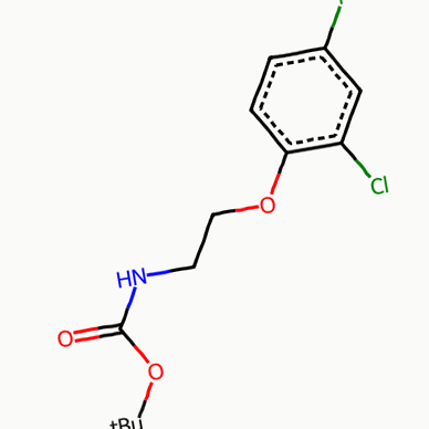 CC(C)(C)OC(=O)NCCOc1ccc(F)cc1Cl